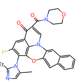 CCc1ncc(C)n1-c1c(F)cc2c(=O)c(C(=O)N3CCOCC3)cn3c2c1Oc1cc2ccccc2cc1-3